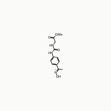 COC(=O)CNC(=O)Nc1ccc(/C(C)=N/O)cc1